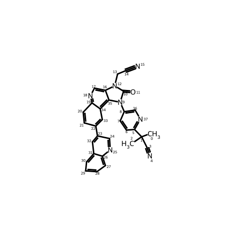 CC(C)(C#N)c1ccc(-n2c(=O)n(CC#N)c3cnc4ccc(-c5cnc6ccccc6c5)cc4c32)cn1